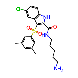 Cc1cc(C)cc(S(=O)(=O)c2c(C(=O)NCCCCCN)[nH]c3ccc(Cl)cc23)c1